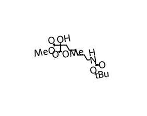 COC(=O)C(O)(CCCCCCNC(=O)OC(C)(C)C)C(=O)OC